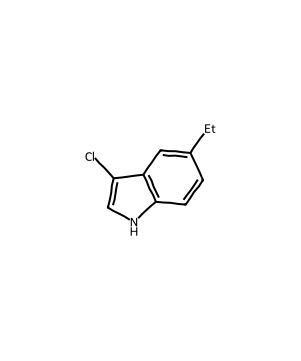 CCc1ccc2[nH]cc(Cl)c2c1